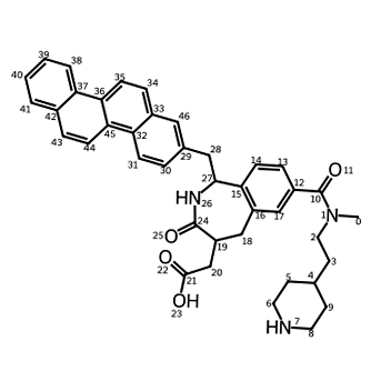 CN(CCC1CCNCC1)C(=O)c1ccc2c(c1)CC(CC(=O)O)C(=O)NC2Cc1ccc2c(ccc3c4ccccc4ccc23)c1